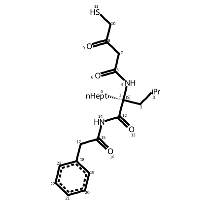 CCCCCCC[C@@](CC(C)C)(NC(=O)CC(=O)CS)C(=O)NC(=O)Cc1ccccc1